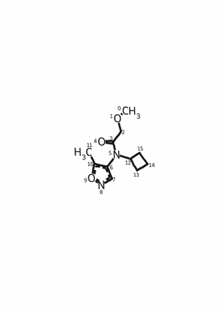 COCC(=O)N(c1cnoc1C)C1CCC1